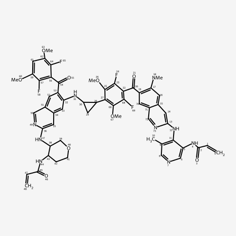 C=CC(=O)Nc1cncc(C)c1Nc1cc2cc(NC)c(C(=O)c3c(F)c(OC)c(C4CC4Nc4cc5cc(NC6COCCC6NC(=O)C=C)ncc5cc4C(=O)c4c(F)c(OC)cc(OC)c4F)c(OC)c3F)cc2cn1